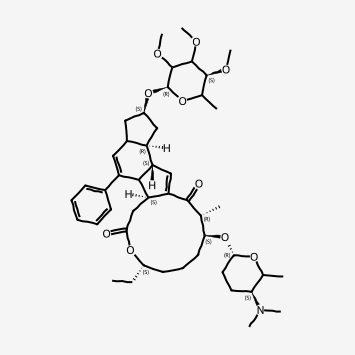 CC[C@H]1CCC[C@H](O[C@H]2CC[C@H](N(C)C)C(C)O2)[C@@H](C)C(=O)C2=C[C@@H]3C(C(c4ccccc4)=CC4C[C@@H](O[C@@H]5OC(C)[C@H](OC)C(OC)C5OC)C[C@H]43)[C@@H]2CC(=O)O1